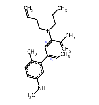 C=CCCN(CCC)/C(=C/C(=C\C)c1cc(NC)ccc1C)C(=C)C